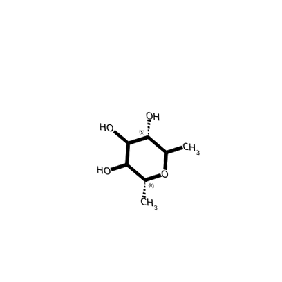 CC1O[C@H](C)C(O)C(O)[C@@H]1O